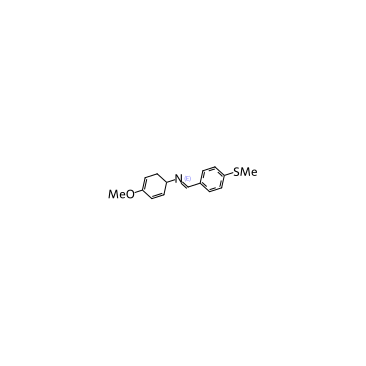 COC1=CCC(/N=C/c2ccc(SC)cc2)C=C1